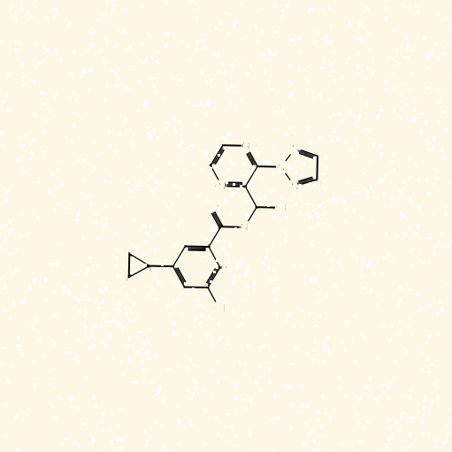 CC(NC(=O)c1cc(C2CC2)cc(C(F)(F)F)c1)c1nccnc1-n1nccn1